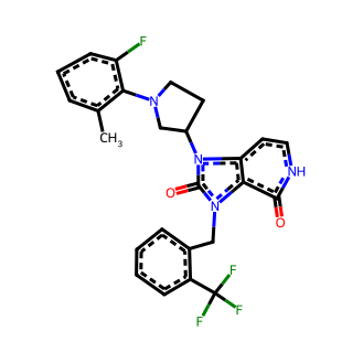 Cc1cccc(F)c1N1CCC(n2c(=O)n(Cc3ccccc3C(F)(F)F)c3c(=O)[nH]ccc32)C1